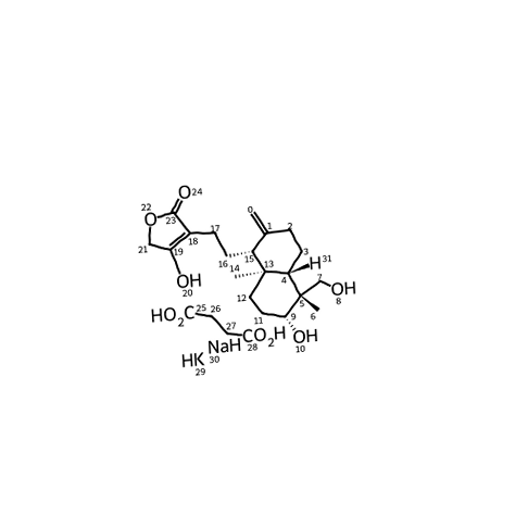 C=C1CC[C@@H]2[C@](C)(CO)[C@H](O)CC[C@@]2(C)[C@@H]1CCC1=C(O)COC1=O.O=C(O)CCC(=O)O.[KH].[NaH]